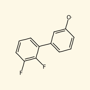 [O]c1cccc(-c2cccc(F)c2F)c1